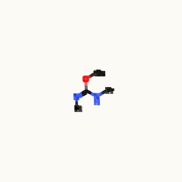 CC/N=C(\NC(C)C)OC(C)(C)C